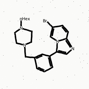 CCCCCCN1CCN(Cc2cccc(-c3cnc4ccc(Br)cn34)c2)CC1